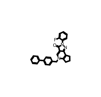 O=c1c2cn(Cc3ccc(-c4ccccc4)cc3)c3c(c-2nn1-c1ccccc1F)CCC3